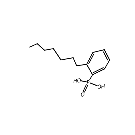 CCCCCCCc1ccccc1P(=O)(O)O